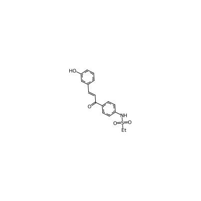 CCS(=O)(=O)Nc1ccc(C(=O)C=Cc2cccc(O)c2)cc1